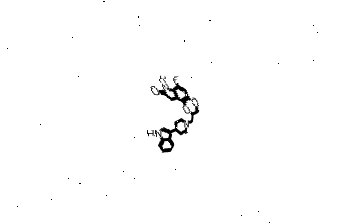 O=C1Cc2c(c(F)cc3c2OC(CN2CCC(c4c[nH]c5ccccc45)CC2)CO3)N1